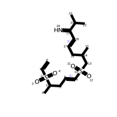 C=CS(=O)(=O)C(C)C/C=C/S(=O)(=O)CC(C)C/C=C/C(=N)C(C)C